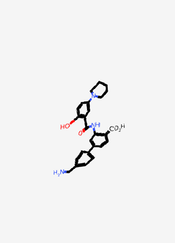 NCc1ccc(-c2ccc(C(=O)O)c(NC(=O)c3cc(N4CCCCC4)ccc3O)c2)cc1